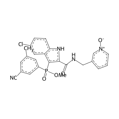 COP(=O)(c1cc(C)cc(C#N)c1)c1c(C(=O)NCc2ccc[n+]([O-])c2)[nH]c2ccc(Cl)cc12